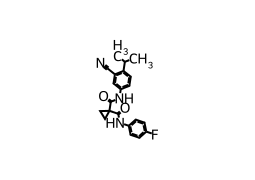 CC(C)c1ccc(NC(=O)C2(C(=O)Nc3ccc(F)cc3)CC2)cc1C#N